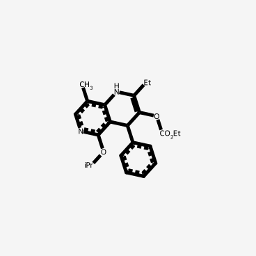 CCOC(=O)OC1=C(CC)Nc2c(C)cnc(OC(C)C)c2C1c1ccccc1